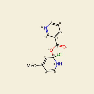 COC1=CC(Cl)(OC(=O)c2cccnc2)NC=C1